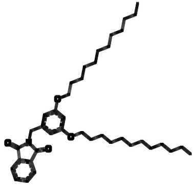 CCCCCCCCCCCCOc1cc(CN2C(=O)c3ccccc3C2=O)cc(OCCCCCCCCCCCC)c1